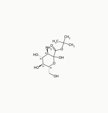 CC(C)(C)OC(=O)C1(O)O[C@H](CO)[C@@H](O)[C@H](O)[C@H]1N